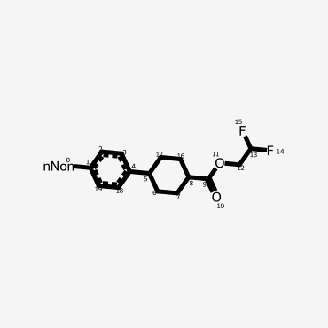 CCCCCCCCCc1ccc(C2CCC(C(=O)OCC(F)F)CC2)cc1